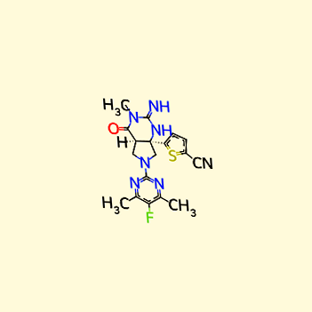 Cc1nc(N2C[C@H]3C(=O)N(C)C(=N)N[C@@]3(c3ccc(C#N)s3)C2)nc(C)c1F